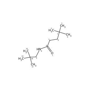 CC(C)(C)CCC(=O)NCC(C)(C)C